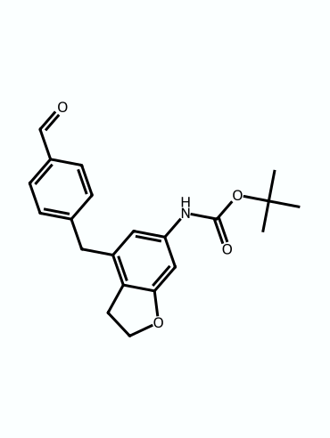 CC(C)(C)OC(=O)Nc1cc(Cc2ccc(C=O)cc2)c2c(c1)OCC2